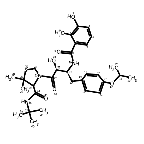 Cc1c(O)cccc1C(=O)N[C@@H](Cc1ccc(OC(C)C)cc1)[C@H](O)C(=O)N1CSC(C)(C)C1C(=O)NC(C)(C)C